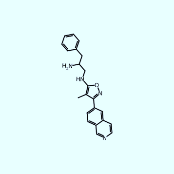 Cc1c(-c2ccc3cnccc3c2)noc1NCC(N)Cc1ccccc1